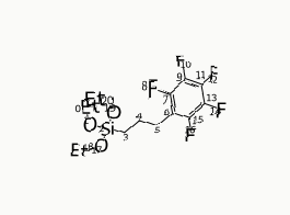 CCO[Si](CCCc1c(F)c(F)c(F)c(F)c1F)(OCC)OCC